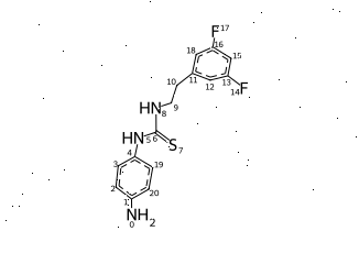 Nc1ccc(NC(=S)NCCc2cc(F)cc(F)c2)cc1